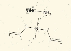 C=CC[N+](C)(C)CC=C.NC=O.[Cl-]